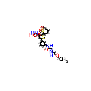 CCOCCNCC(=O)Nc1cccc(-c2ccc([C@@]3(CC(=O)NO)CCCCS3(=O)=O)s2)c1